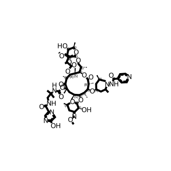 CON=C1C[C@@H](C)O[C@@H](O[C@@H]2[C@@H](C)[C@H](O[C@H]3CC(C)N(NC(=O)c4ccncc4)C[C@H](C)C3)[C@@H](C)C(=O)O[C@H]([C@@H](C)CO[C@@H]3O[C@H](C)[C@@H](O)[C@@H](OC)[C@H]3OC)[C@H](C)[C@@H](OC(=O)CC(C)C)[C@@H](C)C(=O)[C@@](C)(OC(=O)NC(C)(C)CNC(=O)c3cnc(O)cn3)C[C@@H]2C)[C@@H]1O